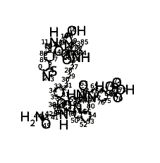 Cc1ncsc1-c1ccc([C@H](C)NC(=O)[C@@H]2C[C@@H](O)CN2C(=O)[C@@H](NC(=O)CCCCCc2cccc(O[C@H](C)[C@H](CCC(N)=O)NC(=O)[C@@H]3Cc4cccc5c4N3C(=O)[C@@H](NC(=O)c3cc4cc(C(=O)P(=O)(O)O)ccc4[nH]3)CC5)c2)C(C)(C)C)cc1